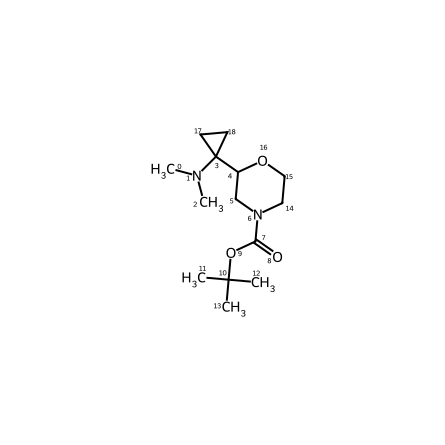 CN(C)C1(C2CN(C(=O)OC(C)(C)C)CCO2)CC1